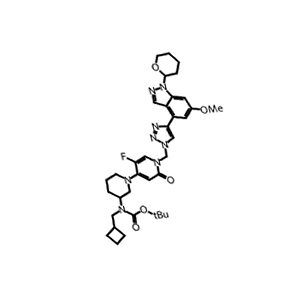 COc1cc(-c2cn(Cn3cc(F)c(N4CCCC(N(CC5CCC5)C(=O)OC(C)(C)C)C4)cc3=O)nn2)c2cnn(C3CCCCO3)c2c1